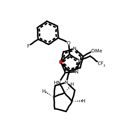 COc1cc(N2C[C@H]3CC[C@@H](C2)[C@H]3Nc2nc(Oc3cccc(F)c3)n(CC(F)(F)F)n2)ccn1